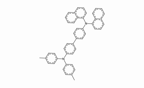 Cc1ccc(N(c2ccc(C)cc2)c2ccc(-c3ccc(N(c4cccc5ccccc45)c4cccc5ccccc45)cc3)cc2)cc1